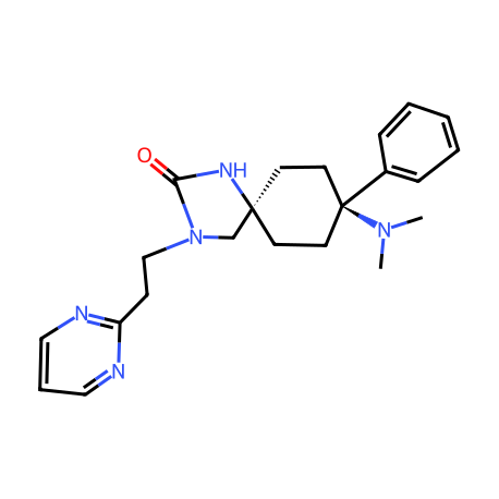 CN(C)[C@]1(c2ccccc2)CC[C@]2(CC1)CN(CCc1ncccn1)C(=O)N2